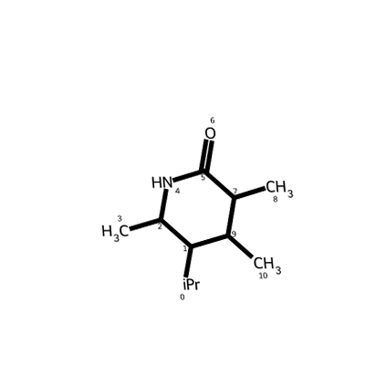 CC(C)C1C(C)NC(=O)C(C)C1C